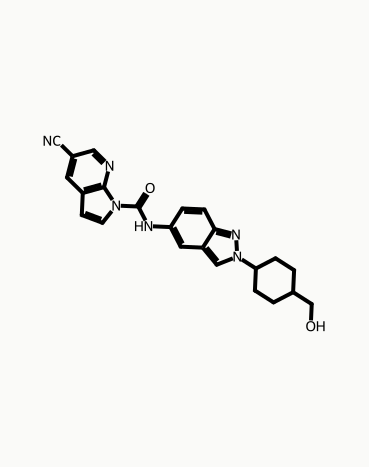 N#Cc1cnc2c(ccn2C(=O)Nc2ccc3nn(C4CCC(CO)CC4)cc3c2)c1